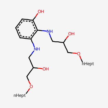 CCCCCCCOCC(O)CNc1cccc(O)c1NCC(O)COCCCCCCC